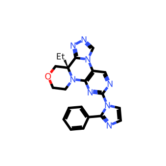 CC[C@]12COCCN1c1nc(-n3ccnc3-c3ccccc3)ncc1-n1cnnc12